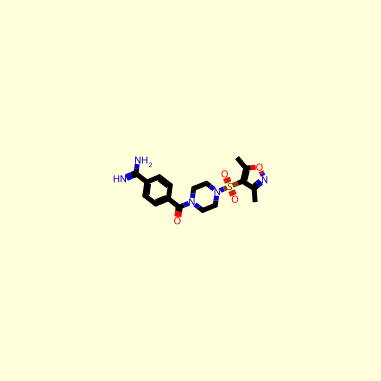 Cc1noc(C)c1S(=O)(=O)N1CCN(C(=O)c2ccc(C(=N)N)cc2)CC1